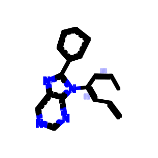 C=C/C=C(\C=C/C)n1c(-c2ccccc2)nc2cncnc21